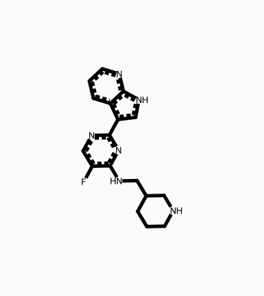 Fc1cnc(-c2c[nH]c3ncccc23)nc1NCC1CCCNC1